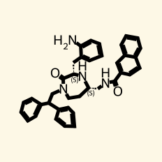 Nc1ccccc1C[C@@H]1N[C@H](CNC(=O)c2ccc3ccccc3c2)CCN(CC(c2ccccc2)c2ccccc2)C1=O